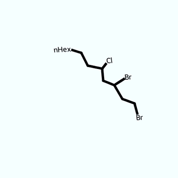 CCCCCCCCC(Cl)CC(Br)CCBr